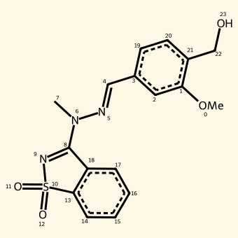 COc1cc(/C=N/N(C)C2=NS(=O)(=O)c3ccccc32)ccc1CO